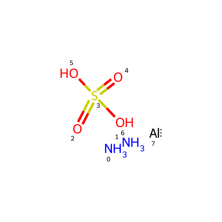 N.N.O=S(=O)(O)O.[Al]